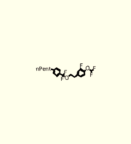 CCCCCc1ccc(C(F)(F)OCCc2ccc(OC(F)F)c(F)c2)cc1